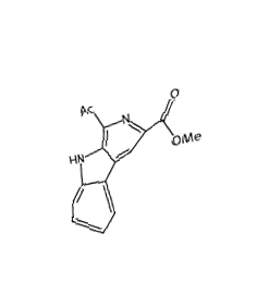 COC(=O)c1cc2c([nH]c3ccccc32)c(C(C)=O)n1